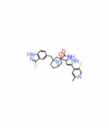 Cc1cc(-c2cc(C(=O)N3C4CCC3(Cc3ccc5[nH]nc(F)c5c3)CC(C(N)=O)C4)n[nH]2)c(F)cn1